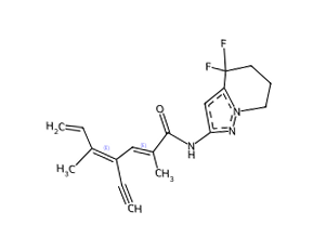 C#CC(/C=C(\C)C(=O)Nc1cc2n(n1)CCCC2(F)F)=C(\C)C=C